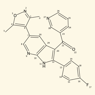 Cc1noc(C)c1-c1cnc2[nH]c(-c3ccc(F)cc3)c(C(=O)c3cccnc3)c2c1